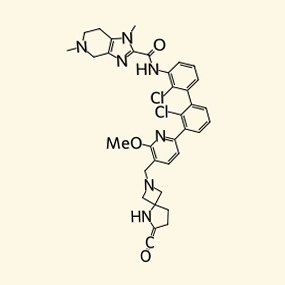 COc1nc(-c2cccc(-c3cccc(NC(=O)c4nc5c(n4C)CCN(C)C5)c3Cl)c2Cl)ccc1CN1CC2(CCC(=C=O)N2)C1